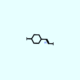 I/C=C/C1CCC(I)CC1